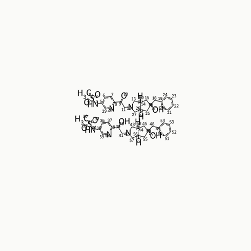 CS(=O)(=O)Nc1ccc(C(=O)CN2C[C@@H]3C[C@](O)(Cc4ccccc4)C[C@@H]3C2)nc1.CS(=O)(=O)Nc1ccc(C(O)CN2C[C@@H]3C[C@](O)(Cc4ccccc4)C[C@@H]3C2)nc1